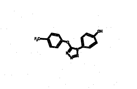 Oc1ccc(-n2nnnc2Oc2ccc(C(F)(F)F)cc2)cc1